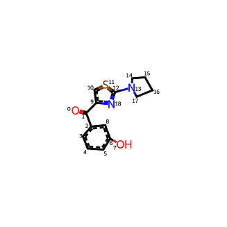 O=C(c1cccc(O)c1)c1csc(N2CCCC2)n1